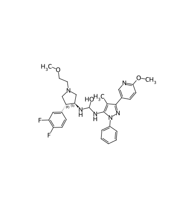 COCCN1C[C@@H](NC(O)Nc2c(C)c(-c3ccc(OC)nc3)nn2-c2ccccc2)[C@H](c2ccc(F)c(F)c2)C1